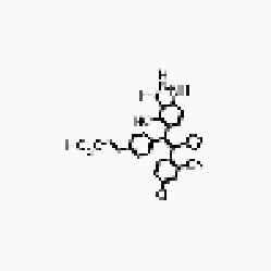 N#Cc1cc(Cl)ccc1/C(=C(\c1ccc(/C=C/C(=O)O)cc1)c1ccc2c(c1C#N)C(F)NN2)C1CCC1